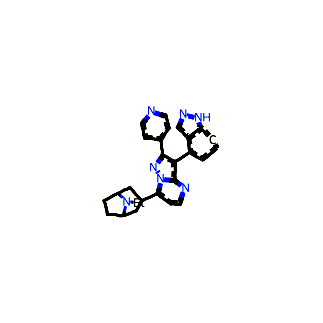 CCN1C2CCC1CC(c1ccnc3c(-c4cccc5[nH]ncc45)c(-c4ccncc4)nn13)C2